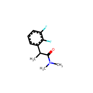 CC(C(=O)N(C)C)c1cccc(F)c1F